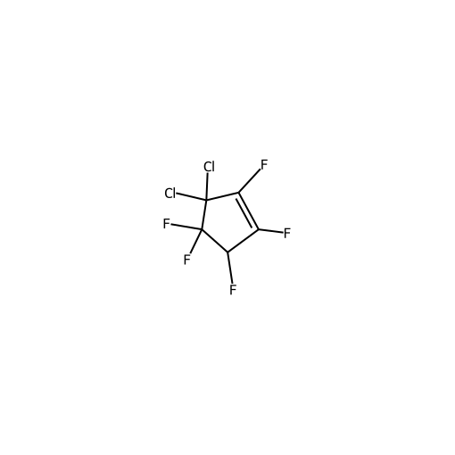 FC1=C(F)C(Cl)(Cl)C(F)(F)C1F